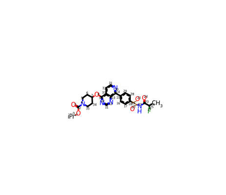 CC(C)OC(=O)N1CCC(Oc2ncnc3c(-c4ccc(S(=O)(=O)NC(=O)C(C)F)cc4)nccc23)CC1